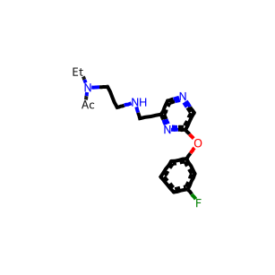 CCN(CCNCc1cncc(Oc2cccc(F)c2)n1)C(C)=O